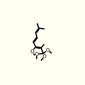 COC(C=CC=C(C)C)=C(C)C(OC)(OC)OC